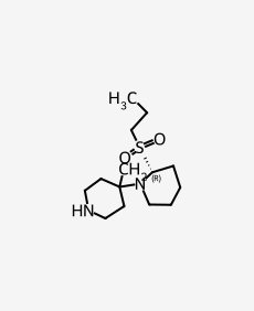 [CH2]C1(N2CCCC[C@H]2S(=O)(=O)CCC)CCNCC1